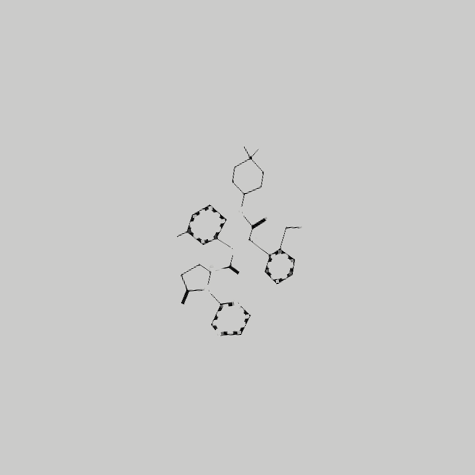 O=C(NC1CCC(F)(F)CC1)[C@H](c1ccccc1CCl)N(C(=O)[C@@H]1CCC(=O)N1c1cnccn1)c1cccc(F)c1